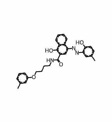 Cc1cccc(OCCCCNC(=O)c2cc(/N=N/c3cc(C)ccc3O)c3ccccc3c2O)c1